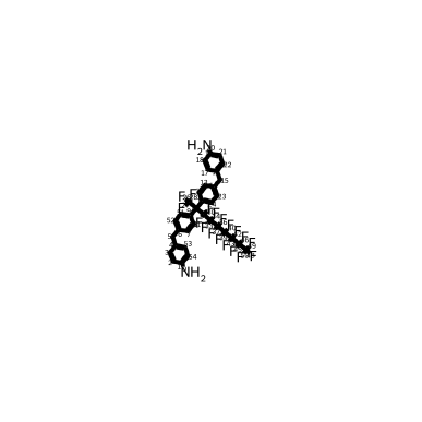 Nc1ccc(Cc2ccc(C(c3ccc(Cc4ccc(N)cc4)cc3)(C(F)(F)F)C(F)(F)C(F)(F)C(F)(F)C(F)(F)C(F)(F)C(F)(F)C(F)(F)F)cc2)cc1